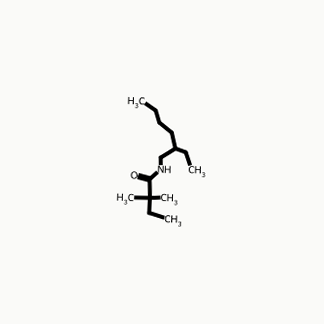 CCCCC(CC)CNC(=O)C(C)(C)CC